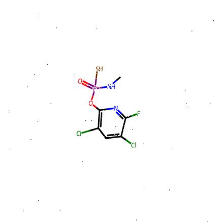 CNP(=O)(S)Oc1nc(F)c(Cl)cc1Cl